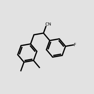 Cc1ccc(CC(C#N)c2cccc(F)c2)cc1C